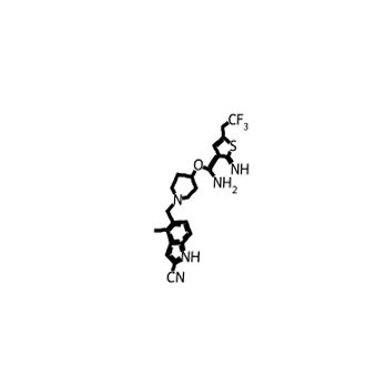 Cc1c(CN2CCC(O/C(N)=C3\C=C(CC(F)(F)F)SC3=N)CC2)ccc2[nH]c(C#N)cc12